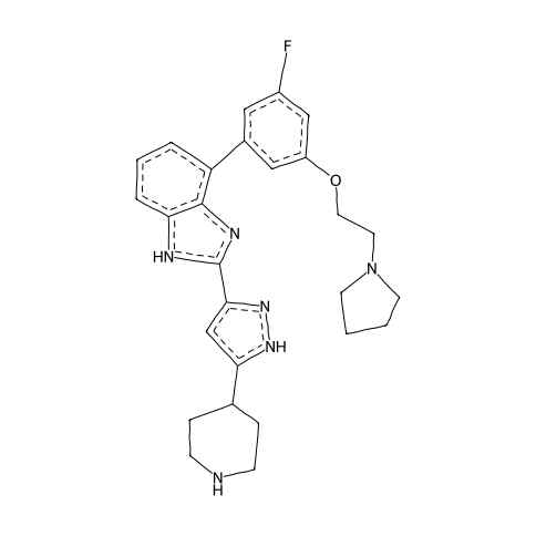 Fc1cc(OCCN2CCCC2)cc(-c2cccc3[nH]c(-c4cc(C5CCNCC5)[nH]n4)nc23)c1